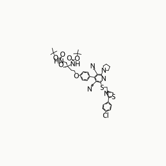 CC(C)(C)OC(=O)NC[C@]([C]=O)(CCOc1ccc(-c2c(C#N)c(SCc3csc(-c4ccc(Cl)cc4)n3)nc(N3CCCC3)c2C#N)cc1)NC(=O)OC(C)(C)C